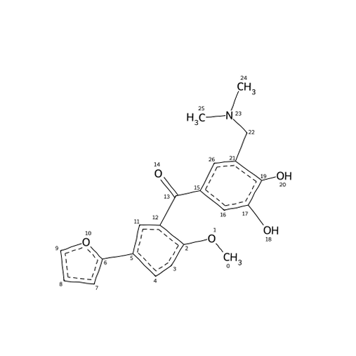 COc1ccc(-c2ccco2)cc1C(=O)c1cc(O)c(O)c(CN(C)C)c1